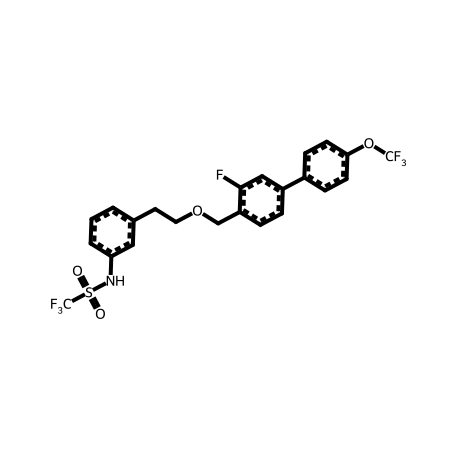 O=S(=O)(Nc1cccc(CCOCc2ccc(-c3ccc(OC(F)(F)F)cc3)cc2F)c1)C(F)(F)F